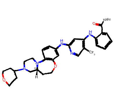 CNC(=O)c1ccccc1Nc1cc(Nc2ccc3c(c2)OCC[C@@H]2CN(C4CCOCC4)CCN32)ncc1C(F)(F)F